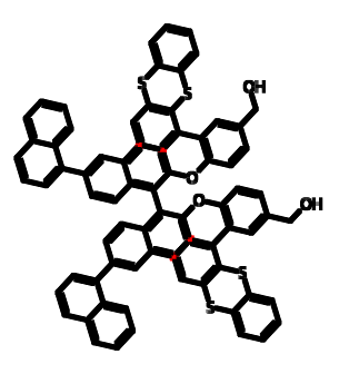 OCc1ccc(Oc2ccc3cc(-c4cccc5ccccc45)ccc3c2-c2c(Oc3ccc(CO)cc3-c3cccc4c3Sc3ccccc3S4)ccc3cc(-c4cccc5ccccc45)ccc23)c(-c2cccc3c2Sc2ccccc2S3)c1